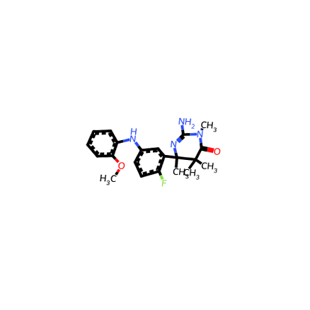 COc1ccccc1Nc1ccc(F)c(C2(C)N=C(N)N(C)C(=O)C2(C)C)c1